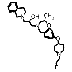 C[C@H]1CN(C[C@H](O)CN2CCc3ccccc3C2)Cc2ccc(OC3CCN(CCF)CC3)cc2O1